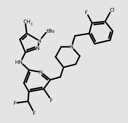 Cc1cc(Nc2cc(C(F)F)c(F)c(CC3CCN(Cc4cccc(Cl)c4F)CC3)n2)nn1C(C)(C)C